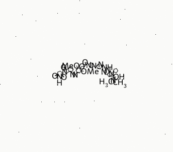 COc1cc(/N=N\c2cccc3c2CN(C2CCC(=O)NC2=O)C3=O)cc(OC)c1OCC(=O)N1CCN(c2ccc(Nc3ncc4cc(C(O)N(C)C)n(C5CCCC5)c4n3)nc2)CC1